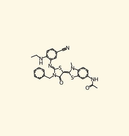 CCNc1ccc(C#N)cc1N=C1SC(=C2Sc3cc(NC(C)=O)ccc3N2C)C(=O)N1Cc1ccccc1